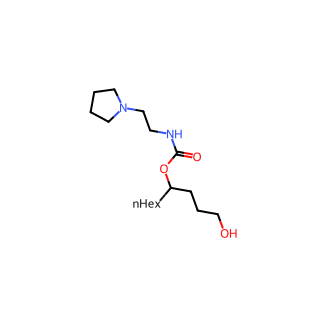 CCCCCCC(CCCO)OC(=O)NCCN1CCCC1